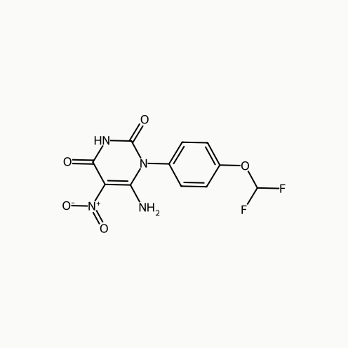 Nc1c([N+](=O)[O-])c(=O)[nH]c(=O)n1-c1ccc(OC(F)F)cc1